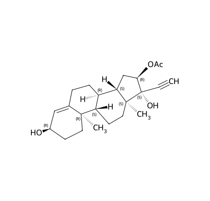 C#C[C@]1(O)[C@H](OC(C)=O)C[C@H]2[C@@H]3CCC4=C[C@H](O)CC[C@]4(C)[C@H]3CC[C@@]21C